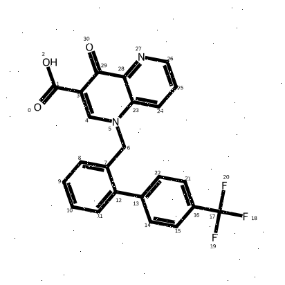 O=C(O)c1cn(Cc2ccccc2-c2ccc(C(F)(F)F)cc2)c2cccnc2c1=O